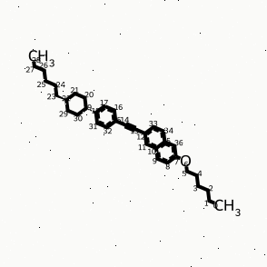 CCCCCCOc1ccc2cc(C#Cc3ccc([C@H]4CC[C@H](CCCCCC)CC4)cc3)ccc2c1